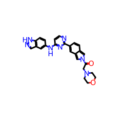 O=C(CN1CCOCC1)n1cc2ccc(-c3nccc(Nc4ccc5[nH]ncc5c4)n3)cc2c1